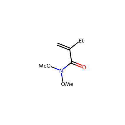 C=C(CC)C(=O)N(OC)OC